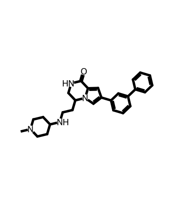 CN1CCC(NCCC2CNC(=O)c3cc(-c4cccc(-c5ccccc5)c4)cn32)CC1